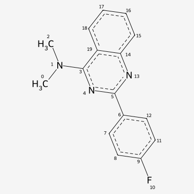 CN(C)c1nc(-c2ccc(F)cc2)nc2ccccc12